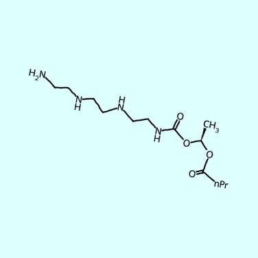 CCCC(=O)O[C@H](C)OC(=O)NCCNCCNCCN